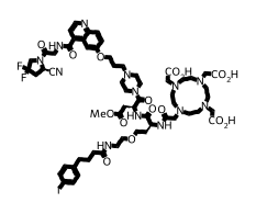 COC(=O)C[C@H](NC(=O)[C@H](CCOCCNC(=O)CCCc1ccc(I)cc1)NC(=O)CN1CCN(CC(=O)O)CCN(CC(=O)O)CCN(CC(=O)O)CC1)C(=O)N1CCN(CCCOc2ccc3nccc(C(=O)NCC(=O)N4CC(F)(F)C[C@@H]4C#N)c3c2)CC1